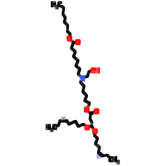 CC/C=C\CCCCOC(CCC(=O)OCCCCCCN(CCO)CCCCCCCC(=O)OCCCCCCCC)OCCCC/C=C\CC